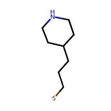 [S]CCCC1CCNCC1